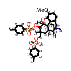 COc1ccc2c3c1O[C@H]1C(=O)C(COS(=O)(=O)c4ccc(C)cc4)(COS(=O)(=O)c4ccc(C)cc4)C[C@H]4[C@@H](C2)N(C)CC[C@]314